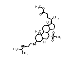 COC(=O)CC[C@@H](C)[C@H]1CCC2C3C(CC[C@@]21C)[C@@]1(C)CC[C@H](NCCNC(C)C)C[C@@H]1C[C@H]3S(C)(=O)=O